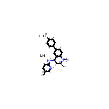 CC(=O)N1c2ccc(-c3ccc(C(=O)O)cc3)cc2[C@H](Nc2ccc(C)cn2)C[C@@H]1C.[LiH]